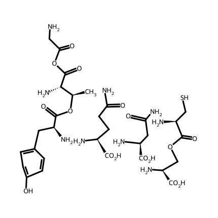 C[C@@H](OC(=O)[C@@H](N)Cc1ccc(O)cc1)[C@H](N)C(=O)OC(=O)CN.NC(=O)CC[C@H](N)C(=O)O.NC(=O)C[C@H](N)C(=O)O.N[C@@H](COC(=O)[C@@H](N)CS)C(=O)O